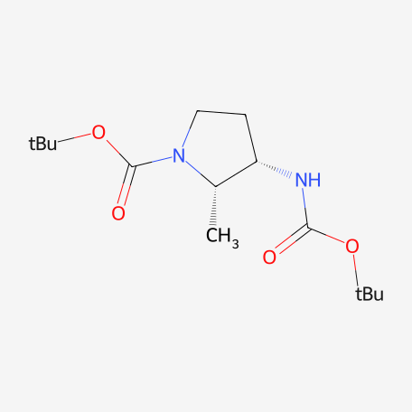 C[C@H]1[C@@H](NC(=O)OC(C)(C)C)CCN1C(=O)OC(C)(C)C